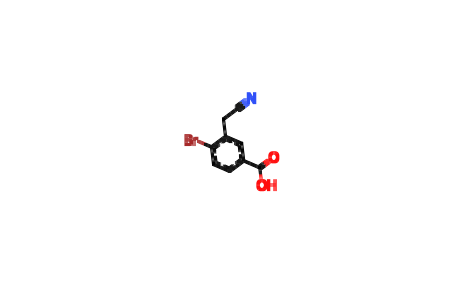 N#CCc1cc(C(=O)O)ccc1Br